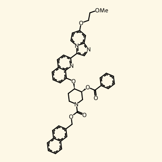 COCCOc1ccn2c(-c3ccc4cccc(O[C@@H]5CCN(C(=O)OCc6ccc7ccccc7c6)C[C@@H]5OC(=O)c5ccccc5)c4n3)cnc2c1